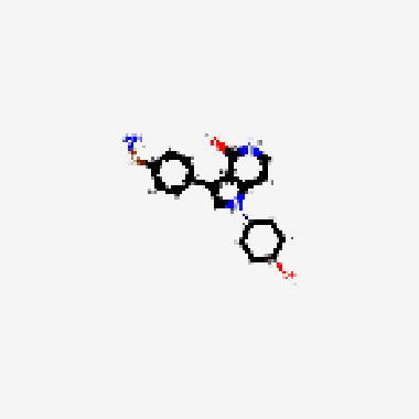 NSc1ccc(-c2cn([C@H]3CC[C@H](O)CC3)c3cc[nH]c(=O)c23)cc1